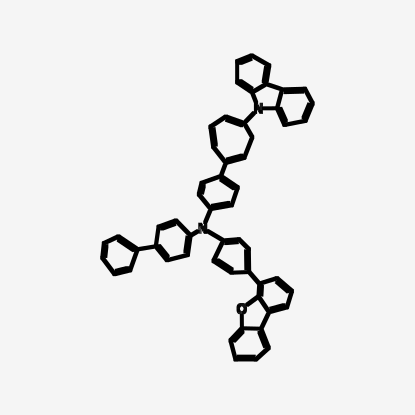 C1=CC(c2ccc(N(c3ccc(-c4ccccc4)cc3)c3ccc(-c4cccc5c4oc4ccccc45)cc3)cc2)=CCC(n2c3ccccc3c3ccccc32)=C1